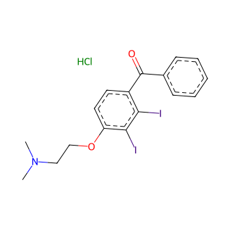 CN(C)CCOc1ccc(C(=O)c2ccccc2)c(I)c1I.Cl